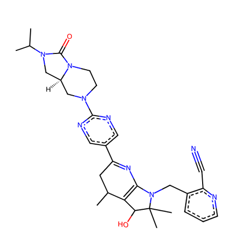 CC1CC(c2cnc(N3CCN4C(=O)N(C(C)C)C[C@@H]4C3)nc2)=NC2=C1C(O)C(C)(C)N2Cc1cccnc1C#N